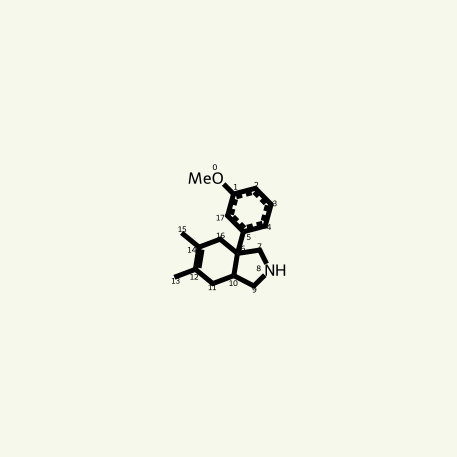 COc1cccc(C23CNCC2CC(C)=C(C)C3)c1